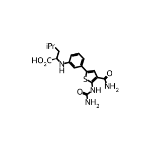 CC(C)C[C@@H](Nc1cccc(-c2cc(C(N)=O)c(NC(N)=O)s2)c1)C(=O)O